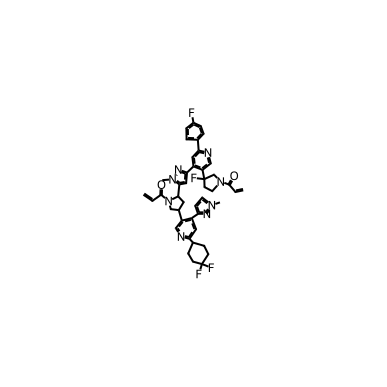 C=CC(=O)N1CCC(F)(c2cnc(-c3ccc(F)cc3)cc2-c2cc(C3CC(c4cnc(C5CCC(F)(F)CC5)cc4-c4ccn(C)n4)CN3C(=O)C=C)n(C)n2)C1